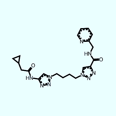 O=C(CC1CC1)Nc1cn(CCCCn2cc(C(=O)NCc3ccccn3)nn2)nn1